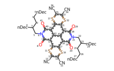 CCCCCCCCCCCCC(CCCCCCCCCC)Cn1c(=O)c2c3sc(C#N)c(C#N)sc3c3c(=O)n(CC(CCCCCCCCCC)CCCCCCCCCCCC)c(=O)c4c5sc(C#N)c(C#N)sc5c(c1=O)c2c34